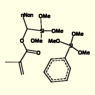 C=C(C)C(=O)OC(CCCCCCCCC)[Si](OC)(OC)OC.CO[Si](OC)(OC)c1ccccc1